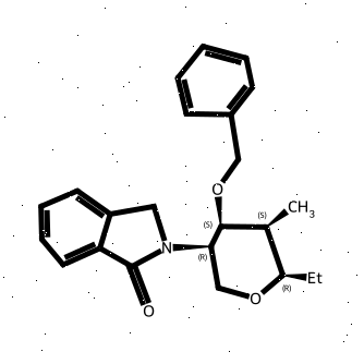 CC[C@H]1OC[C@@H](N2Cc3ccccc3C2=O)[C@@H](OCc2ccccc2)[C@H]1C